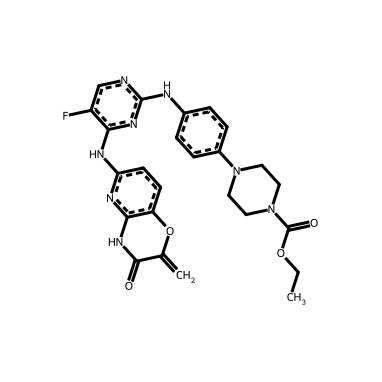 C=C1Oc2ccc(Nc3nc(Nc4ccc(N5CCN(C(=O)OCC)CC5)cc4)ncc3F)nc2NC1=O